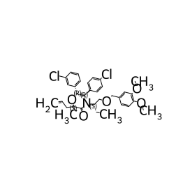 C=CC[C@]1(C)O[C@H](c2cccc(Cl)c2)[C@@H](c2ccc(Cl)cc2)N([C@@H](CC)COCc2ccc(OC)c(OC)c2)C1=O